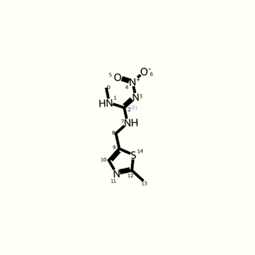 CN/C(=N\[N+](=O)[O-])NCc1cnc(C)s1